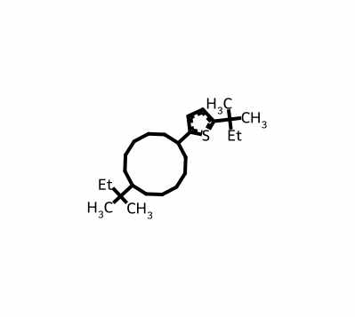 CCC(C)(C)c1ccc(C2CCCCCC(C(C)(C)CC)CCCCC2)s1